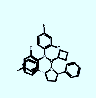 Fc1ccc(P(c2ccc(F)cc2F)N(C2CCC2)P2[C@@H](c3ccccc3)CC[C@@H]2c2ccccc2)c(F)c1